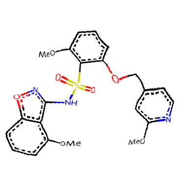 COc1cc(COc2cccc(OC)c2S(=O)(=O)Nc2noc3cccc(OC)c23)ccn1